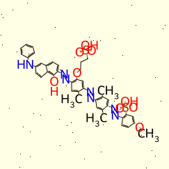 COc1ccc(N=Nc2cc(C)c(N=Nc3cc(OCCCS(=O)(=O)O)c(N=Nc4ccc5cc(Nc6ccccc6)ccc5c4O)cc3C)cc2C)c(S(=O)(=O)O)c1